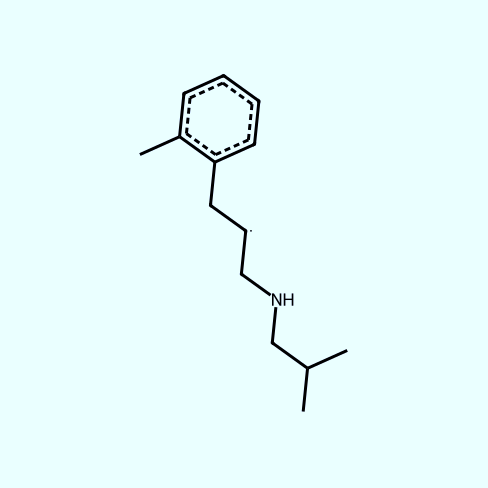 Cc1ccccc1C[CH]CNCC(C)C